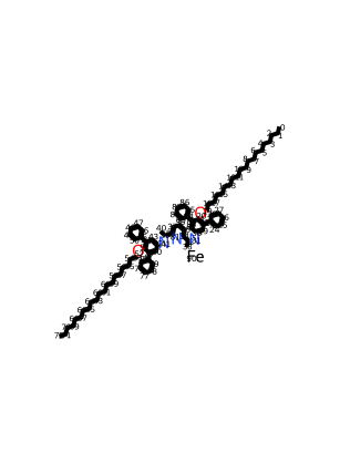 CCCCCCCCCCCCCCCCCCCCOc1c(-c2ccccc2)cc(N=C(C)c2cccc(C(C)=Nc3cc(-c4ccccc4)c(OCCCCCCCCCCCCCCCCCCCC)c(-c4ccccc4)c3)n2)cc1-c1ccccc1.[Fe]